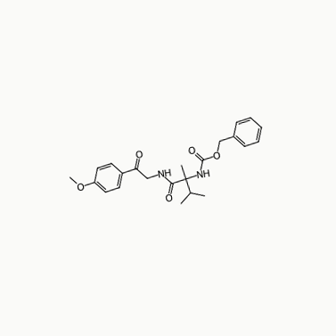 COc1ccc(C(=O)CNC(=O)C(C)(NC(=O)OCc2ccccc2)C(C)C)cc1